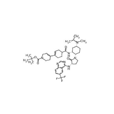 CC(C)N(C)[C@@H]1CC[C@H](N2CC[C@H](Nc3ncnc4ccc(C(F)(F)F)cc34)C2=O)[C@H](NC(=O)C2CC=C(C3=CCN(C(=O)OC(C)(C)C)CC3)CC2)C1